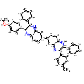 COc1ccc(-c2nc3ccc(-c4ccc5nc(-c6ccccc6)c(-c6ccc(C)cc6)nc5c4)cc3nc2-c2ccccc2)cc1